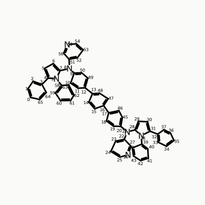 c1ccc(-c2ccc(N(c3ccc(-c4ccc(-c5ccc(N(c6cccnc6)c6ccc(-c7ccccc7)n6-c6ccccc6)cc5)cc4)cc3)c3cccnc3)n2-c2ccccc2)cc1